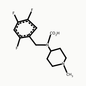 CN1CCC(N(Cc2cc(F)c(F)cc2F)C(=O)O)CC1